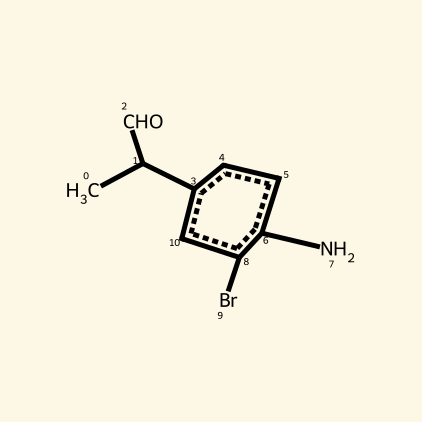 CC(C=O)c1ccc(N)c(Br)c1